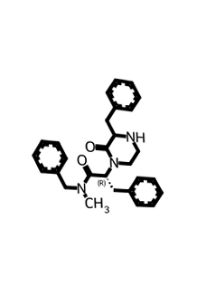 CN(Cc1ccccc1)C(=O)[C@@H](Cc1ccccc1)N1CCNC(Cc2ccccc2)C1=O